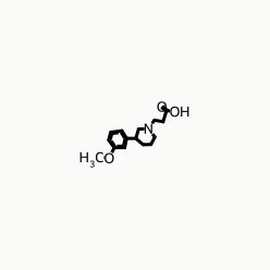 COc1cccc(C2CCCN(CCC(=O)O)C2)c1